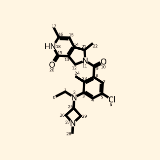 CCN(c1cc(Cl)cc(C(=O)N2Cc3c(cc(C)[nH]c3=O)C2C)c1C)C1CN(C)C1